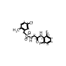 Cc1ccc(Cl)cc1CS(=O)(=O)NCC(=O)Nc1c(F)cccc1F